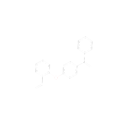 C=Cc1ccccc1Oc1ccc(C(=C)c2ccccc2)cc1